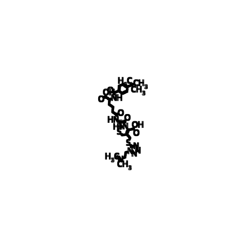 CN(C)CCn1nnnc1SCC1=C(C(=O)O)N2C(=O)[C@@H](NC(=O)CCCC(NC(=O)c3ccc(C(C)(C)C)cc3)C(=O)O)[C@@H]2SC1